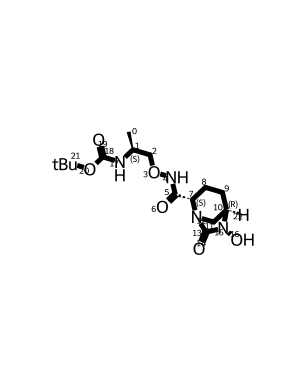 C[C@@H](CONC(=O)[C@@H]1CC[C@@H]2CN1C(=O)N2O)NC(=O)OC(C)(C)C